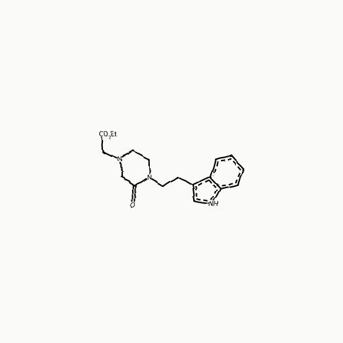 CCOC(=O)CN1CCN(CCc2c[nH]c3ccccc23)C(=O)C1